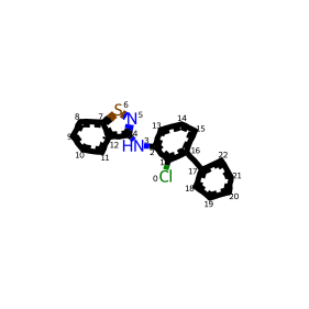 Clc1c(Nc2nsc3ccccc23)cccc1-c1ccccc1